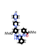 CNC(=O)c1ccccc1Nc1nc(Nc2ccc(N3CCC(N4CCN(C)CC4)CC3)cc2OC)nc2ccccc12